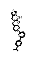 CC(C)c1ccc(-c2cccc(N3CCC(CN(Cc4cscn4)C(=O)O)CC3)n2)cc1